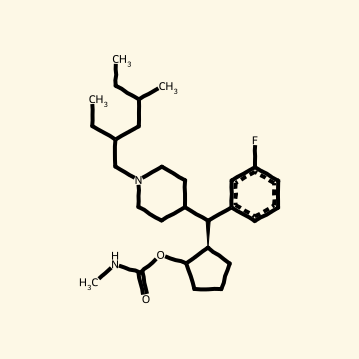 CCC(C)CC(CC)CN1CCC(C(c2cccc(F)c2)[C@H]2CCCC2OC(=O)NC)CC1